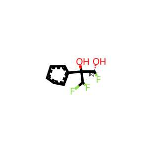 O[C@H](F)C(O)(c1ccccc1)C(F)F